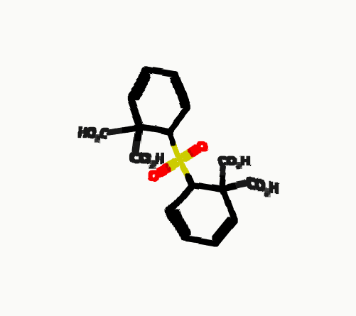 O=C(O)C1(C(=O)O)C=CC=CC1S(=O)(=O)C1C=CC=CC1(C(=O)O)C(=O)O